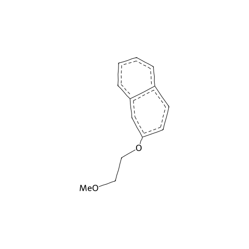 COCCOc1ccc2ccccc2c1